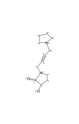 O=C1C(Cl)CCN1CC#CCN1CCCC1